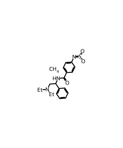 C.CCN(CC)CC(NC(=O)c1ccc(N=S(=O)=O)cc1)c1ccccc1